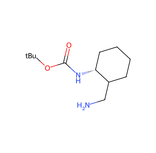 CC(C)(C)OC(=O)N[C@@H]1CCCCC1CN